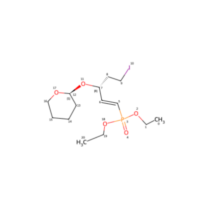 CCOP(=O)(C=C[C@@H](CCI)O[C@H]1CCCCO1)OCC